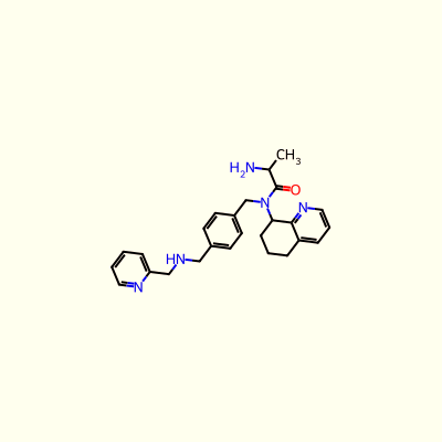 CC(N)C(=O)N(Cc1ccc(CNCc2ccccn2)cc1)C1CCCc2cccnc21